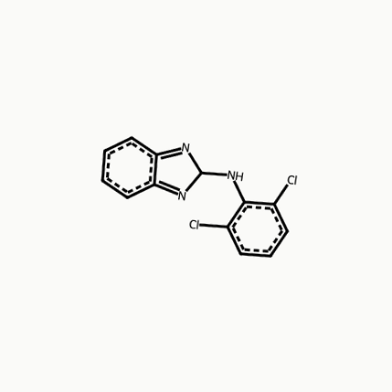 Clc1cccc(Cl)c1NC1N=c2ccccc2=N1